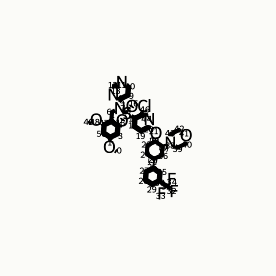 COc1ccc(CN(c2ccncn2)S(=O)(=O)c2ccc(O[C@H]3CC[C@H](c4cccc(C(F)(F)F)c4)C[C@@H]3N3CCOCC3)nc2Cl)c(OC)c1